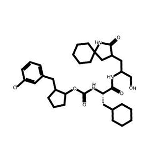 O=C(N[C@@H](CC1CCCCC1)C(=O)NC(CO)CC1CC2(CCCCC2)NC1=O)OC1CCCC1Cc1cccc(Cl)c1